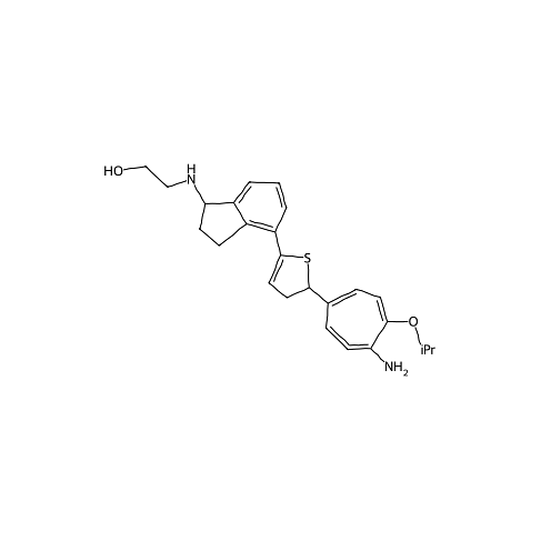 CC(C)OC1=CC=C(C2CC=C(c3cccc4c3CCC4NCCO)S2)C=C=C1N